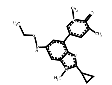 CCSNc1cc(-c2cc(C)c(=O)n(C)c2)c2nc(C3CC3)n(C)c2c1